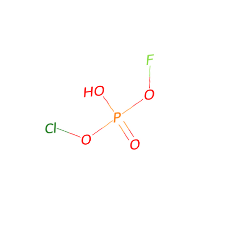 O=P(O)(OF)OCl